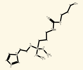 CO[Si](CCCNC(=O)OCCCCl)(OC)OCCn1ccnc1